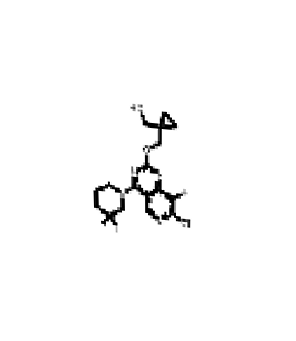 OCC1(COc2nc(N3CCCC(F)(F)C3)c3cnc(Cl)c(F)c3n2)CC1